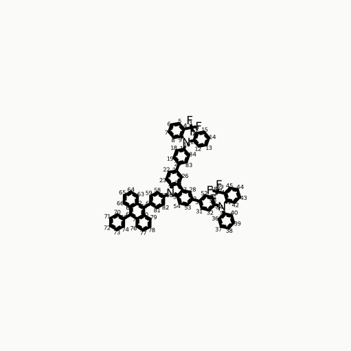 FC(F)(F)c1ccccc1N(c1ccccc1)c1ccc(-c2ccc3c(c2)c2cc(-c4ccc(N(c5ccccc5)c5ccccc5C(F)(F)F)cc4)ccc2n3-c2ccc(-c3c4ccccc4c(-c4ccccc4)c4ccccc34)cc2)cc1